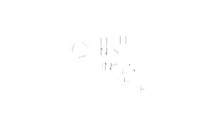 C/C(NCc1ccccc1)=C1\CCN(CC(F)F)C(=O)C1=N